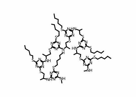 CCCCCSc1nc(NC)nc(NC(C)CSc2nc(NC(C)CSc3nc(NC(C)CSc4nc(NC(C)CSc5nc(NC(C)CSc6nc(NC)nc(SCCCCC)n6)nc(SCCCCC)n5)nc(SCCCCC)n4)nc(SCCCCC)n3)nc(SCCCCC)n2)n1